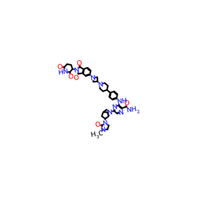 CN1CCN(C2CC3CC2N(c2cnc(C(N)=O)c(Nc4ccc(C5CCN(C6CN(c7ccc8c(c7)C(=O)N(C7CCC(=O)NC7=O)C8=O)C6)CC5)cc4)n2)C3)C1=O